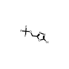 [2H]c1nnc(COC(F)(F)F)o1